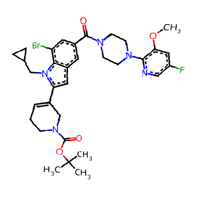 COc1cc(F)cnc1N1CCN(C(=O)c2cc(Br)c3c(c2)cc(C2=CCCN(C(=O)OC(C)(C)C)C2)n3CC2CC2)CC1